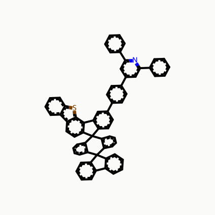 c1ccc(-c2cc(-c3ccc(-c4ccc5c(c4)-c4c(ccc6c4sc4ccccc46)C54c5ccccc5C5(c6ccccc6-c6ccccc65)c5ccccc54)cc3)cc(-c3ccccc3)n2)cc1